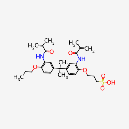 C=C(C)C(=O)Nc1cc(C(C)(C)c2ccc(OCCCS(=O)(=O)O)c(NC(=O)C(=C)C)c2)ccc1OCCC